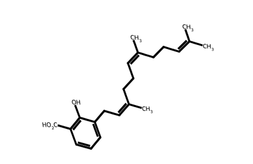 CC(C)=CCCC(C)=CCCC(C)=CCc1cccc(C(=O)O)c1O